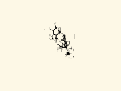 C[C@@H]1Oc2nc(Cl)c(Cl)c3ncnc(c23)N2C[C@H]3CC[C@@H]([C@@H]12)N3C(=O)OC(C)(C)C